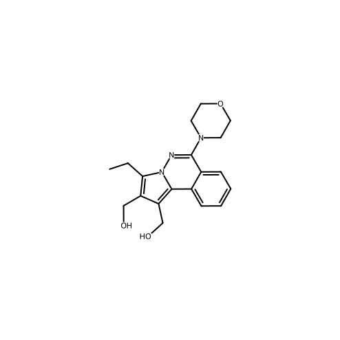 CCc1c(CO)c(CO)c2c3ccccc3c(N3CCOCC3)nn12